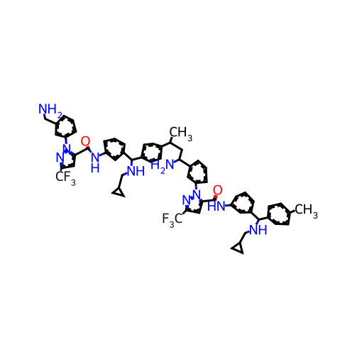 Cc1ccc(C(NCC2CC2)c2cccc(NC(=O)c3cc(C(F)(F)F)nn3-c3cccc(C(N)CC(C)c4ccc(C(NCC5CC5)c5cccc(NC(=O)c6cc(C(F)(F)F)nn6-c6cccc(CN)c6)c5)cc4)c3)c2)cc1